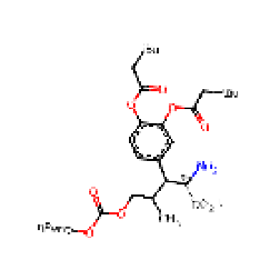 CCCCCOC(=O)OCC(C)C(c1ccc(OC(=O)CC(C)CC)c(OC(=O)CC(C)CC)c1)[C@H](N)C(=O)O